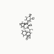 CC(c1c[nH]c(=O)c2ccccc12)N(Cc1cncs1)C(=O)NC1=CC(Cl)C(=O)C=C1